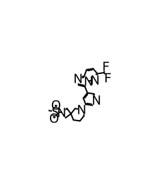 CS(=O)(=O)N1CC2(CCCN(c3cncc(-c4cnc5ccc(C(F)F)nn45)c3)C2)C1